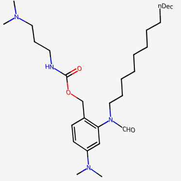 CCCCCCCCCCCCCCCCCCN(C=O)c1cc(N(C)C)ccc1COC(=O)NCCCN(C)C